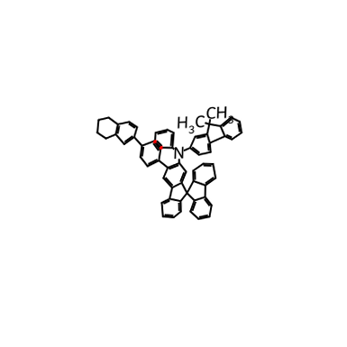 CC1(C)c2ccccc2-c2ccc(N(c3ccccc3)c3cc4c(cc3-c3ccc(-c5ccc6c(c5)CCCC6)cc3)-c3ccccc3C43c4ccccc4-c4ccccc43)cc21